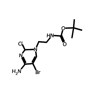 CC(C)(C)OC(=O)NCCN1C=C(Br)C(N)=NC1Cl